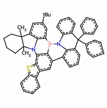 CC(C)(C)c1cc2c3c(c1)C1(C)CCCCC1(C)N3c1c3c(cc4c1sc1ccccc14)-c1cccc4c1N(B23)c1ccccc1C4(c1ccccc1)c1ccccc1